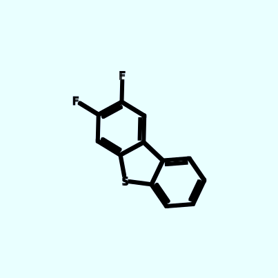 Fc1cc2sc3ccccc3c2cc1F